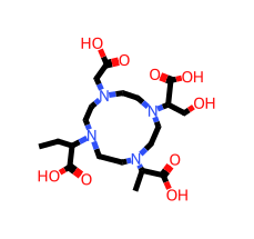 CCC(C(=O)O)N1CCN(CC(=O)O)CCN(C(CO)C(=O)O)CCN(C(C)C(=O)O)CC1